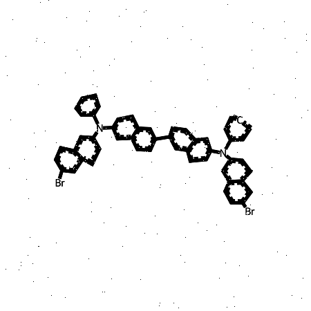 Brc1ccc2cc(N(c3ccccc3)c3ccc4cc(-c5ccc6cc(N(c7ccccc7)c7ccc8cc(Br)ccc8c7)ccc6c5)ccc4c3)ccc2c1